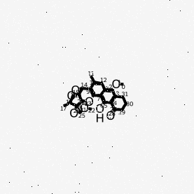 COc1c2c(c(O)c3c4c(c(C)cc13)C1OC3(C)OC1[C@@](OC)(O4)[C@@]31CO1)C(=O)CCC2